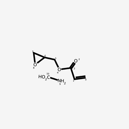 C=CC(=O)OCC1CO1.NC(=O)O